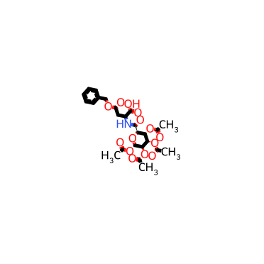 CC(=O)O[C@@H]1O[C@H](C(=O)NC(CC(=O)OCc2ccccc2)C(=O)O)[C@@H](OC(C)=O)[C@H](OC(C)=O)[C@H]1OC(C)=O